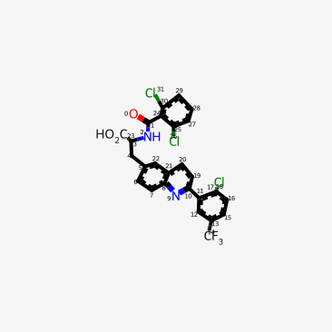 O=C(NC(Cc1ccc2nc(-c3cc(C(F)(F)F)ccc3Cl)ccc2c1)C(=O)O)c1c(Cl)cccc1Cl